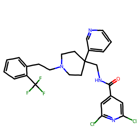 O=C(NCC1(c2cccnc2)CCN(CCc2ccccc2C(F)(F)F)CC1)c1cc(Cl)nc(Cl)c1